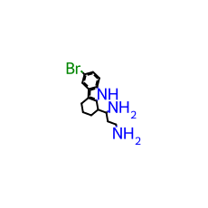 NCCC(N)C1CCCc2c1[nH]c1ccc(Br)cc21